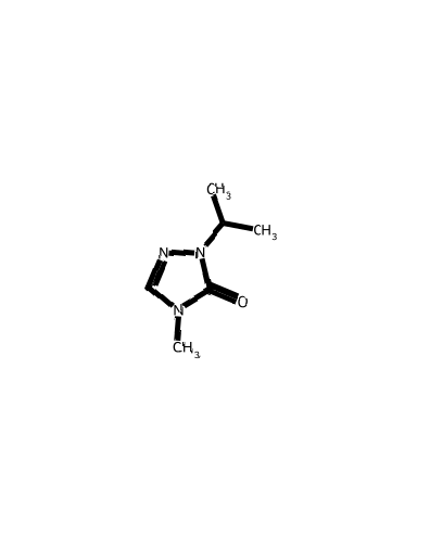 CC(C)n1ncn(C)c1=O